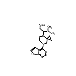 CN(C)C(CC=O)N1CCN(c2ncnc3[nH]ccc23)CC12CC2